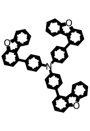 c1ccc2c(c1)oc1cccc(-c3ccc(N(c4ccc(-c5cccc6oc7ccccc7c56)cc4)c4ccc(-c5cccc6oc7ccccc7c56)cc4)cc3)c12